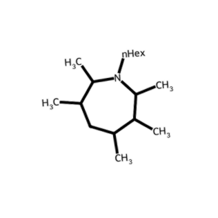 CCCCCCN1C(C)C(C)CC(C)C(C)C1C